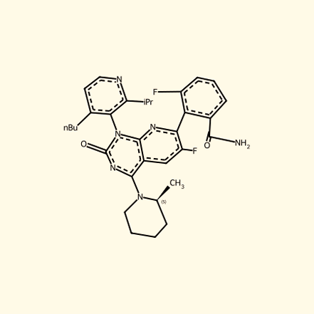 CCCCc1ccnc(C(C)C)c1-n1c(=O)nc(N2CCCC[C@@H]2C)c2cc(F)c(-c3c(F)cccc3C(N)=O)nc21